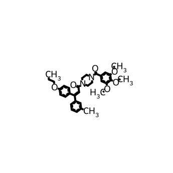 CCCOc1ccc(/C(=C\C(=O)N2CCN(C(=O)c3cc(OC)c(OC)c(OC)c3)CC2)c2cccc(C)c2)cc1